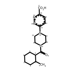 CC1CCCCC1C(=O)N1CCN(c2ccc(C(=O)O)nn2)CC1